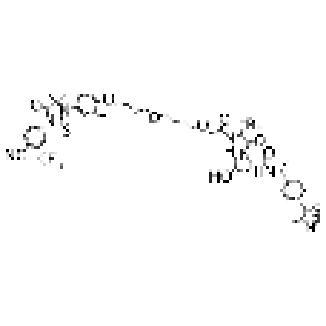 Cc1ncsc1-c1ccc([C@H](C)NC(=O)[C@@H]2C[C@@H](O)CN2C(=O)C(NC(=O)COCCCCOCCCCOc2ccc(N3C(=S)N(c4ccc(C#N)c(C(F)(F)F)c4)C(=O)C3(C)C)cc2F)C(C)(C)C)cc1